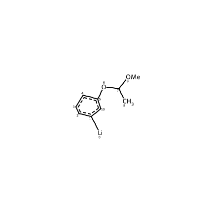 [Li][c]1cccc(OC(C)OC)c1